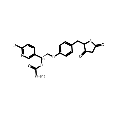 CCCCCC(=O)O[C@@H](COc1ccc(CC2SC(=O)CC2=O)cc1)c1ccc(CC)nc1